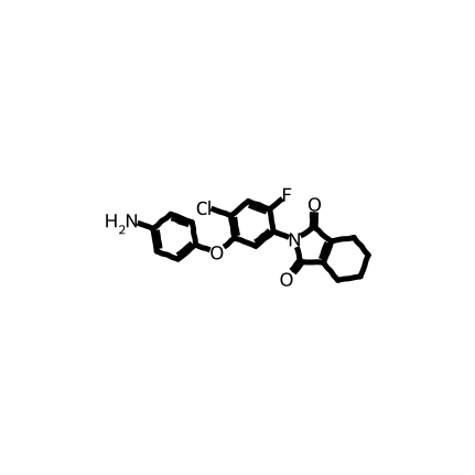 Nc1ccc(Oc2cc(N3C(=O)C4=C(CCCC4)C3=O)c(F)cc2Cl)cc1